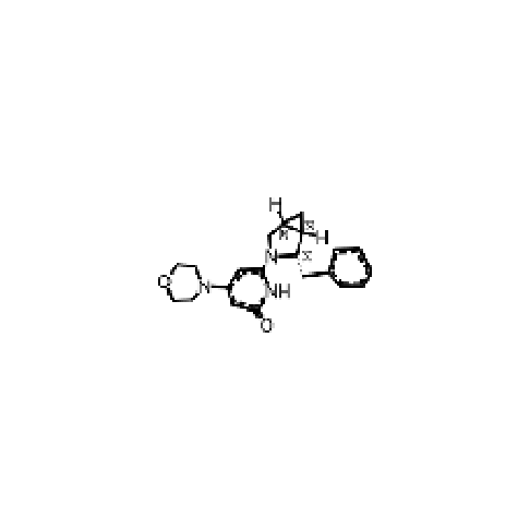 O=c1cc(N2CCOCC2)cc(N2C[C@@H]3C[C@@H]3[C@@H]2Cc2ccccc2)[nH]1